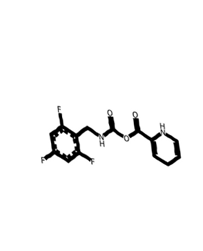 O=C(NCc1c(F)cc(F)cc1F)OC(=O)C1=CCC=CN1